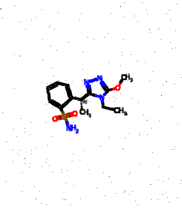 CCn1c(OC)nnc1[C@H](C)c1ccccc1S(N)(=O)=O